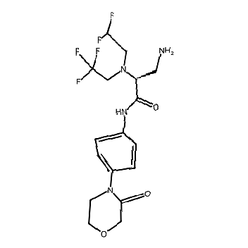 NC[C@@H](C(=O)Nc1ccc(N2CCOCC2=O)cc1)N(CC(F)F)CC(F)(F)F